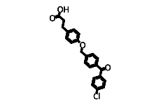 O=C(O)CCc1ccc(OCc2ccc(C(=O)c3ccc(Cl)cc3)cc2)cc1